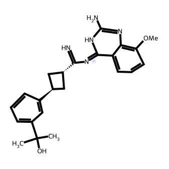 COc1cccc2/c(=N/C(=N)[C@H]3C[C@H](c4cccc(C(C)(C)O)c4)C3)[nH]c(N)nc12